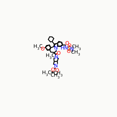 COc1ccc2c(c1)CC(C)(C(=O)N1CC3CN(C(=O)OC(C)(C)C)CC3C1)Cn1c-2c(C2CCCCC2)c2ccc(C(=O)NS(=O)(=O)N(C)C)cc21